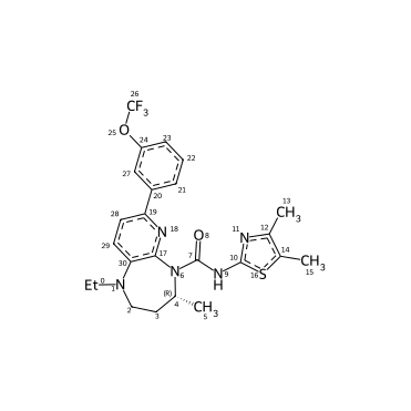 CCN1CC[C@@H](C)N(C(=O)Nc2nc(C)c(C)s2)c2nc(-c3cccc(OC(F)(F)F)c3)ccc21